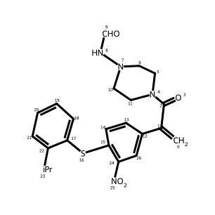 C=C(C(=O)N1CCN(NC=O)CC1)c1ccc(Sc2ccccc2C(C)C)c([N+](=O)[O-])c1